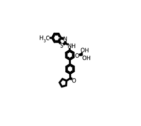 Cc1ccc2nc(Nc3ccc(-c4ccc(C(=O)C5CCCC5)cc4)cc3)sc2c1.O=C(O)O